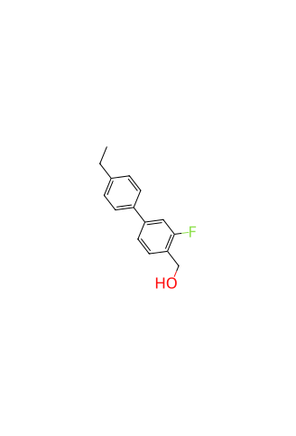 CCc1ccc(-c2ccc(CO)c(F)c2)cc1